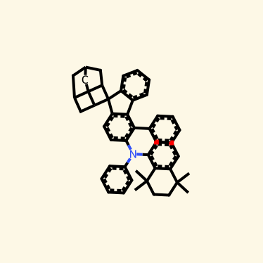 CC1(C)CCC(C)(C)c2c(N(c3ccccc3)c3ccc4c(c3-c3ccccc3)-c3ccccc3C43C4CC5CC6CC3C64C5)cccc21